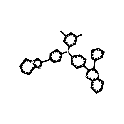 Cc1cc(C)cc(N(c2ccc(-c3cn4ccccc4n3)cc2)c2ccc(-c3nc4ccccc4nc3-c3ccccc3)cc2)c1